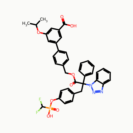 CC(C)Oc1cc(C(=O)O)cc(-c2ccc(COC(=O)C(Cc3ccc(OP(=O)(O)C(F)F)cc3)(c3ccccc3)n3nnc4ccccc43)cc2)c1